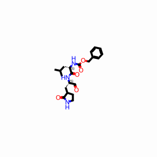 CC(C)C[C@H](NC(=O)OCc1ccccc1)C(=O)N[C@H](C=O)CC1CCNC1=O